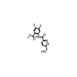 COC(=O)c1cc(F)c(F)cc1NC(=O)c1ccc(CO)nn1